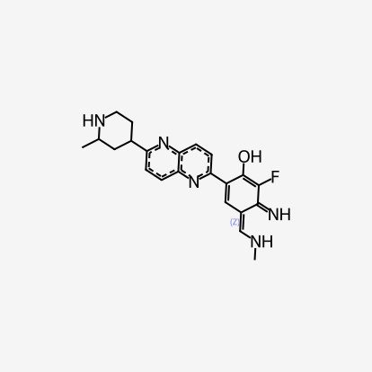 CN/C=C1/C=C(c2ccc3nc(C4CCNC(C)C4)ccc3n2)C(O)=C(F)C1=N